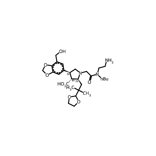 CCCCN(CCN)C(=O)CN1C[C@H](c2cc(CO)c3c(c2)OCO3)[C@@H](C(=O)O)[C@@H]1CC(C)(C)C1OCCO1